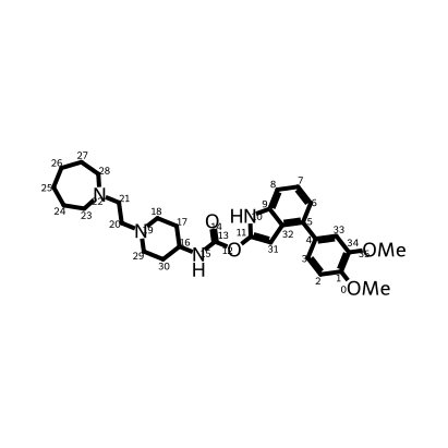 COc1ccc(-c2cccc3[nH]c(OC(=O)NC4CCN(CCN5CCCCCC5)CC4)cc23)cc1OC